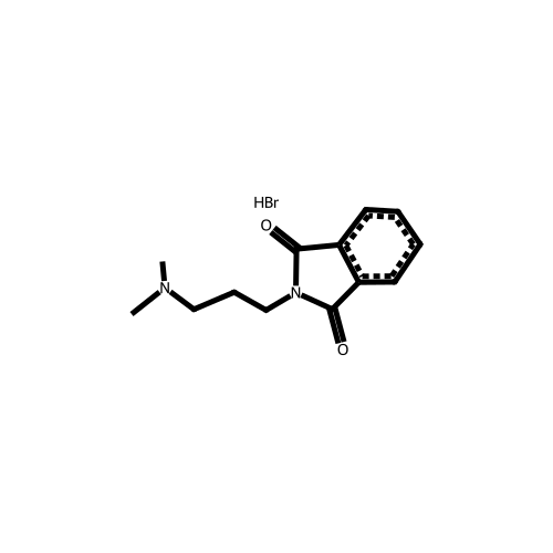 Br.CN(C)CCCN1C(=O)c2ccccc2C1=O